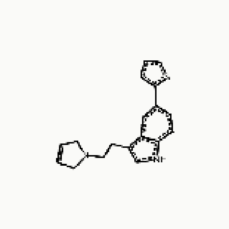 C1=CCN(CCc2c[nH]c3ccc(-c4cccs4)cc23)C1